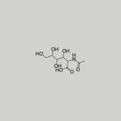 CC(=O)NC(C(=O)O)C(O)C(O)C(O)CO